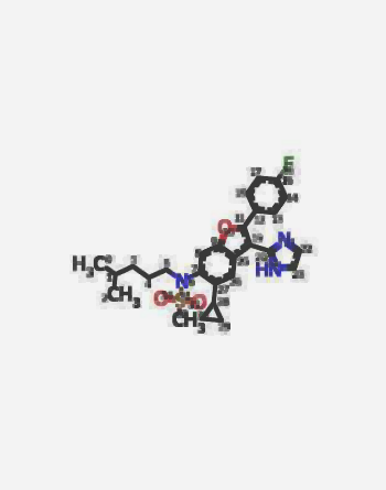 CC(C)CCCN(c1cc2oc(-c3ccc(F)cc3)c(-c3ncc[nH]3)c2cc1C1CC1)S(C)(=O)=O